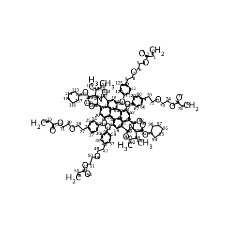 C=CC(=O)OCCOCCc1ccc(Oc2cc3c4c(cc(Oc5ccc(CCOCCOC(=O)C=C)cc5)c5c6c(Oc7ccc(CCOCCOC(=O)C=C)cc7)cc7c8c(cc(Oc9ccc(CCOCCOC(=O)C=C)cc9)c(c2c45)c86)C(=O)N(C(C(=O)OC2CCCCC2)C(C)CC)C7=O)C(=O)N(C(C(=O)OC2CCCCC2)C(C)CC)C3=O)cc1